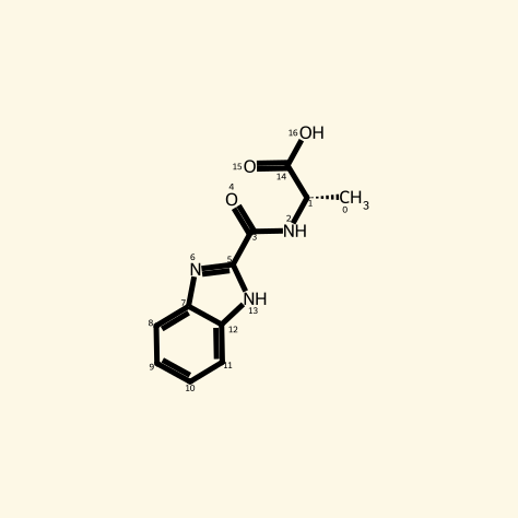 C[C@H](NC(=O)c1nc2ccccc2[nH]1)C(=O)O